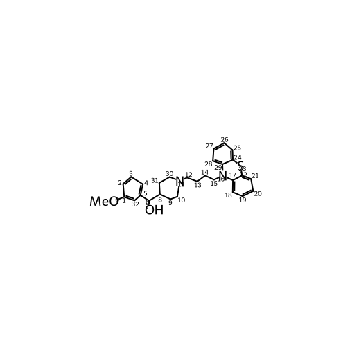 COc1cccc(C(O)C2CCN(CCCCN3c4ccccc4Sc4ccccc43)CC2)c1